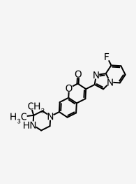 CC1(C)CN(c2ccc3cc(-c4cn5cccc(F)c5n4)c(=O)oc3c2)CCN1